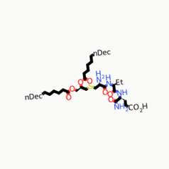 CCCCCCCCCCCCCCCC(=O)OC[C@H](CSC[C@H](N)C(=O)N[C@@H](CC)C(=O)N[C@H](CCC(=O)O)C(N)=O)OC(=O)CCCCCCCCCCCCCCC